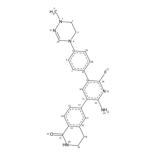 CN1CCN(c2ccc(-c3cc(-c4ccc5c(c4)CCNC5=O)c(N)nc3F)cc2)C=N1